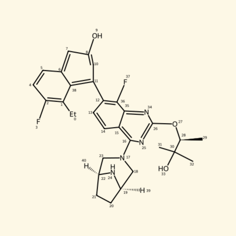 CCc1c(F)ccc2cc(O)cc(-c3ccc4c(N5C[C@H]6CC[C@@H](C5)N6)nc(O[C@@H](C)C(C)(C)O)nc4c3F)c12